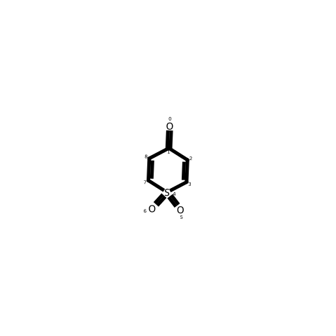 O=C1C=CS(=O)(=O)C=C1